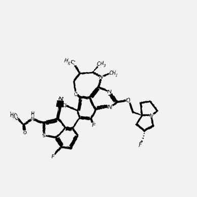 CC1COc2c(Cl)c(-c3ccc(F)c4sc(NC(=O)O)c(C#N)c34)c(F)c3nc(OC[C@@]45CCCN4C[C@H](F)C5)nc(c23)N(C)[C@@H]1C